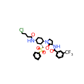 O=C(CCCCl)N[C@@H]1CC[C@H](N2CC[C@H](NC(=O)c3cccc(C(F)(F)F)c3)C2=O)[C@H](CS(=O)(=O)c2ccccc2)C1